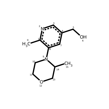 Cc1ncc(CO)cc1N1CCOCC1C